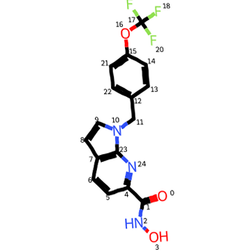 O=C(NO)c1ccc2ccn(Cc3ccc(OC(F)(F)F)cc3)c2n1